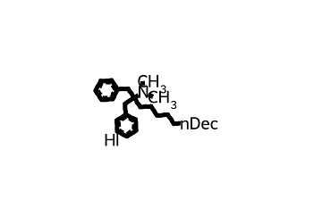 CCCCCCCCCCCCCCCC(Cc1ccccc1)(Cc1ccccc1)N(C)C.I